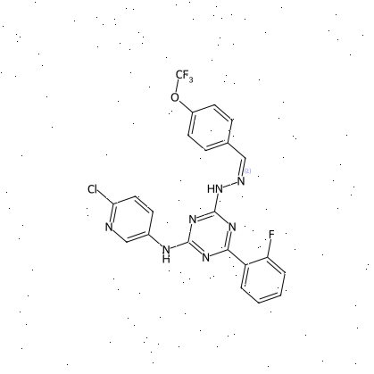 Fc1ccccc1-c1nc(N/N=C\c2ccc(OC(F)(F)F)cc2)nc(Nc2ccc(Cl)nc2)n1